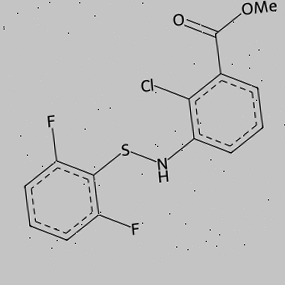 COC(=O)c1cccc(NSc2c(F)cccc2F)c1Cl